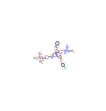 C/N=C(\N)NCCC[C@H](NC(=O)[C@@H]1C[C@@H](OCc2ccc(Cl)cc2)CN1C(=O)Cc1nc(C2CCN(C(=O)OC(C)(C)C)CC2)sc1C)C(=O)c1nc2ccccc2s1